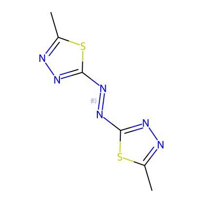 Cc1nnc(/N=N/c2nnc(C)s2)s1